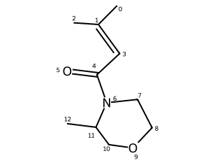 CC(C)=CC(=O)N1CCOCC1C